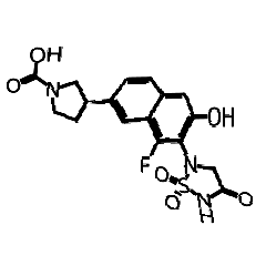 O=C1CN(c2c(O)cc3ccc([C@H]4CCN(C(=O)O)C4)cc3c2F)S(=O)(=O)N1